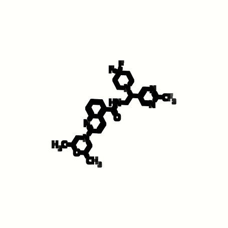 CC1CN(c2ccc3c(C(=O)NCC(c4cnc(C(F)(F)F)nc4)N4CCC(F)(F)CC4)cccc3n2)CC(C)O1